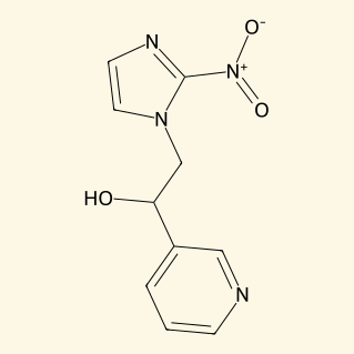 O=[N+]([O-])c1nccn1CC(O)c1cccnc1